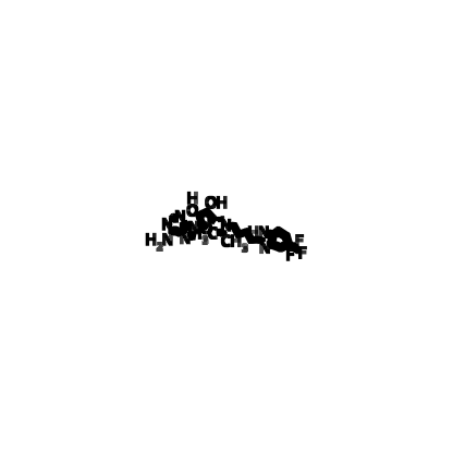 CC(C)N(CCCCc1nc2cc(C(F)(F)F)ccc2[nH]1)C[C@H]1O[C@@H](n2cnc3c(N)ncnc32)[C@H](O)[C@@H]1O